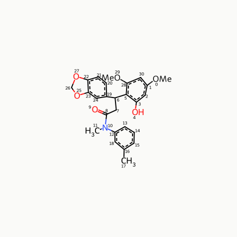 COc1cc(O)c(C(CC(=O)N(C)c2cccc(C)c2)c2ccc3c(c2)OCO3)c(OC)c1